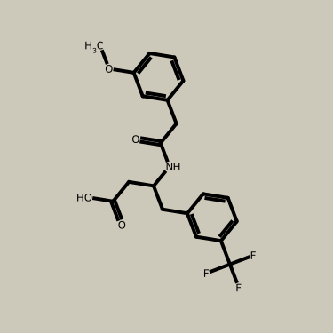 COc1cccc(CC(=O)NC(CC(=O)O)Cc2cccc(C(F)(F)F)c2)c1